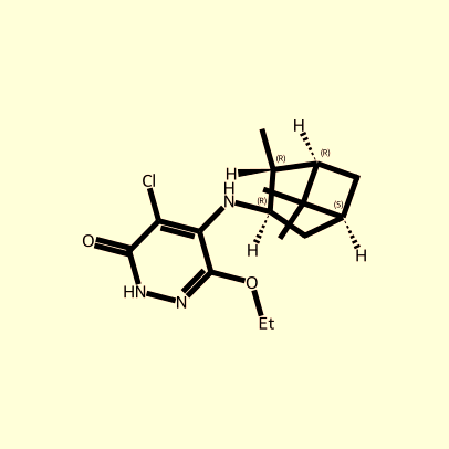 CCOc1n[nH]c(=O)c(Cl)c1N[C@@H]1C[C@@H]2C[C@H]([C@H]1C)C2(C)C